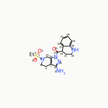 CCS(=O)(=O)N1CCc2c(N)nn(C(=O)C3CCNc4ccccc43)c2C1